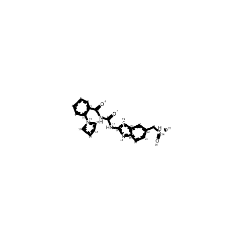 O=C(NC(=O)c1ccccc1-n1cccc1)Nc1nc2ccc(C[SH](=O)=O)cc2s1